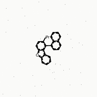 CC(C)c1ccc2oc3ccccc3c2c1-c1cccc2ccccc12